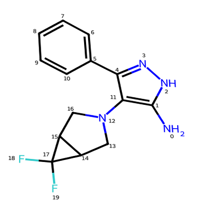 Nc1[nH]nc(-c2ccccc2)c1N1CC2C(C1)C2(F)F